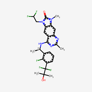 Cc1nc(N[C@H](C)c2cccc(C(F)(F)C(C)(C)O)c2F)c2cc3c(cc2n1)n(C)c(=O)n3CC(F)F